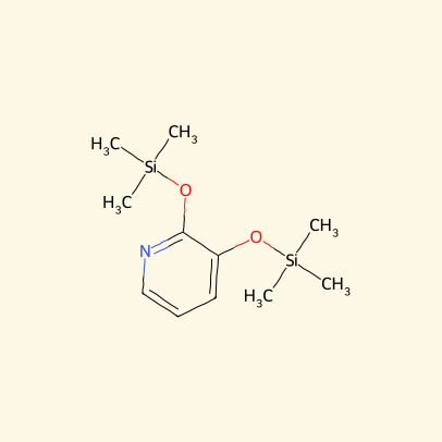 C[Si](C)(C)Oc1cccnc1O[Si](C)(C)C